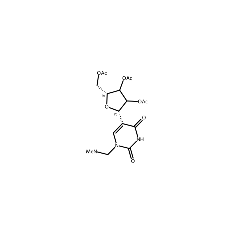 CNCn1cc([C@@H]2O[C@H](COC(C)=O)C(OC(C)=O)C2OC(C)=O)c(=O)[nH]c1=O